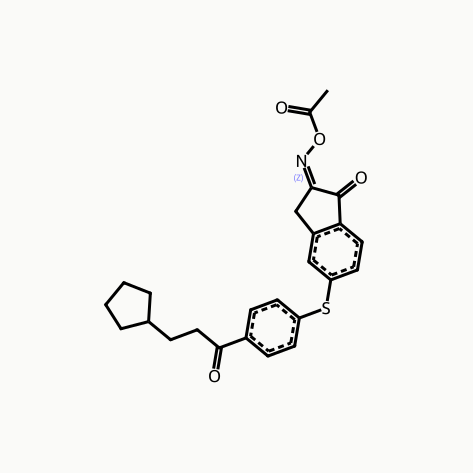 CC(=O)O/N=C1/Cc2cc(Sc3ccc(C(=O)CCC4CCCC4)cc3)ccc2C1=O